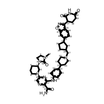 CN1CCN([C@@H]2CCCN(c3cnc(C(N)=O)c(Nc4ccc(C5CCN(CC6CCC(c7ccc8c(C9CCC(=O)NC9=O)noc8c7)C6)CC5)cc4)n3)C2)C1=O